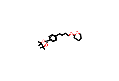 CC1(C)OB(c2ccc(CCCCOC3CCCCO3)cc2)OC1(C)C